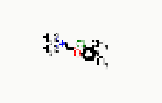 Cc1ccc(OCCCN(C)C)c(Cl)c1C